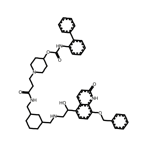 O=C(CCN1CCC(OC(=O)Nc2ccccc2-c2ccccc2)CC1)NCC1CCCC(CNCC(O)c2ccc(OCc3ccccc3)c3[nH]c(=O)ccc23)C1